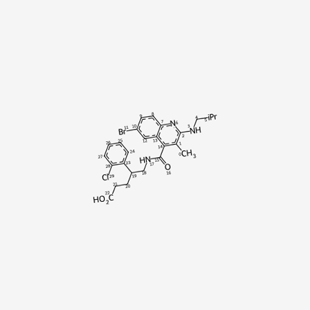 Cc1c(NCC(C)C)nc2ccc(Br)cc2c1C(=O)NCC(CCC(=O)O)c1ccccc1Cl